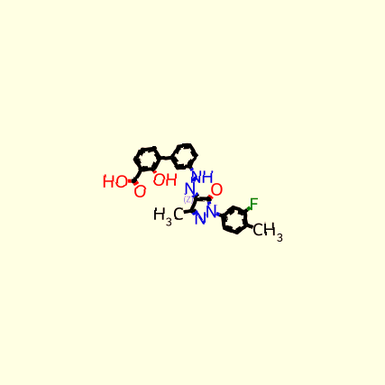 CC1=NN(c2ccc(C)c(F)c2)C(=O)/C1=N\Nc1cccc(-c2cccc(C(=O)O)c2O)c1